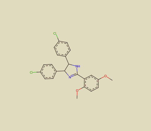 COc1ccc(OC)c(C2=NC(c3ccc(Cl)cc3)C(c3ccc(Cl)cc3)N2)c1